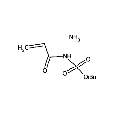 C=CC(=O)NS(=O)(=O)OCC(C)C.N